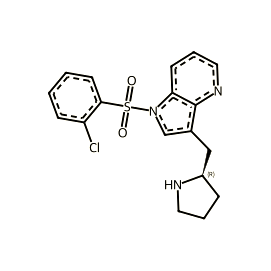 O=S(=O)(c1ccccc1Cl)n1cc(C[C@H]2CCCN2)c2ncccc21